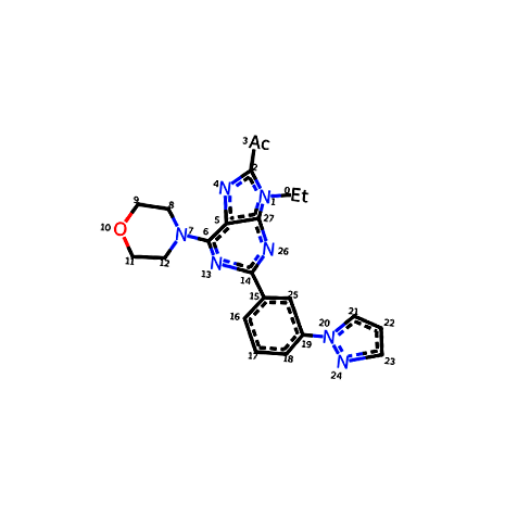 CCn1c(C(C)=O)nc2c(N3CCOCC3)nc(-c3cccc(-n4cccn4)c3)nc21